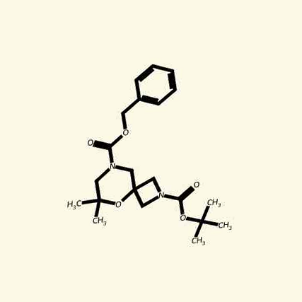 CC(C)(C)OC(=O)N1CC2(CN(C(=O)OCc3ccccc3)CC(C)(C)O2)C1